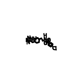 O=S(=O)(NCCC1CCC(Cc2nnn[nH]2)CC1)c1ccc(Cl)cc1